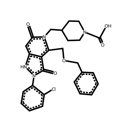 O=C(O)N1CCC(Cn2c(COCc3ccccc3)c3c(=O)n(-c4ccccc4Cl)[nH]c3cc2=O)CC1